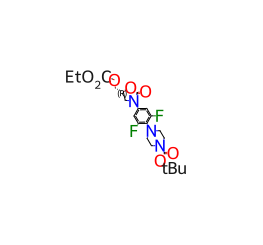 CCOC(=O)OC[C@H]1CN(c2cc(F)c(N3CCN(C(=O)OC(C)(C)C)CC3)c(F)c2)C(=O)O1